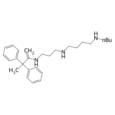 C=C(NCCCNCCCCNCCCC)C(C)(c1ccccc1)c1ccccc1